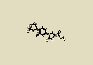 NC(=O)[C@H]1CN(c2ccc(C3CCOC(=O)C3)c(F)c2)C(=O)O1